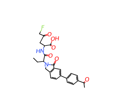 CCC(C(=O)NC(CC(=O)CF)C(=O)O)N1Cc2ccc(-c3ccc(C(C)=O)cc3)cc2C1=O